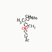 COc1ccc(C(C)c2ccc(OC(=O)c3ccc(-c4ccc(C(C)=O)cc4)cc3)c(C)c2)cc1C